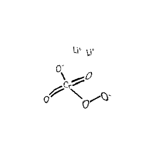 [Li+].[Li+].[O]=[Cr](=[O])([O-])[O][O-]